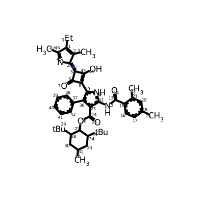 CCC1=C(C)/C(=C2/C(=O)C(c3[nH]c(NC(=O)c4ccc(C)cc4C)c(C(=O)OC4C(C(C)(C)C)CC(C)CC4C(C)(C)C)c3-c3ccccc3)=C2O)N=C1C